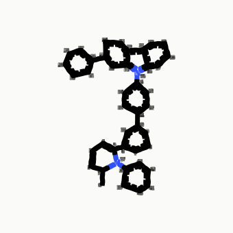 CC1C=CC=C(c2cccc(-c3ccc(-n4c5ccccc5c5ccc(-c6ccccc6)cc54)cc3)c2)N1c1ccccc1